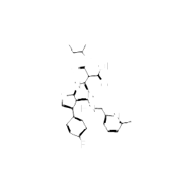 CCC(C)OC(=O)C(C(=O)O)c1nc(NCc2cccc(C)n2)c2c(-c3ccc(F)cc3)csc2n1